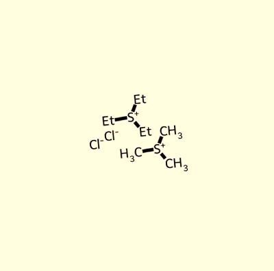 CC[S+](CC)CC.C[S+](C)C.[Cl-].[Cl-]